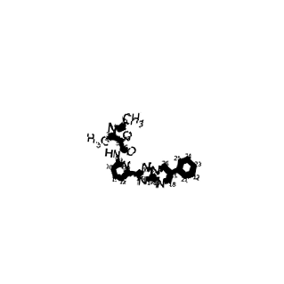 Cc1nc(C)c(C(=O)Nc2cccc(-c3nc4ncc(-c5ccccc5)cn4n3)n2)o1